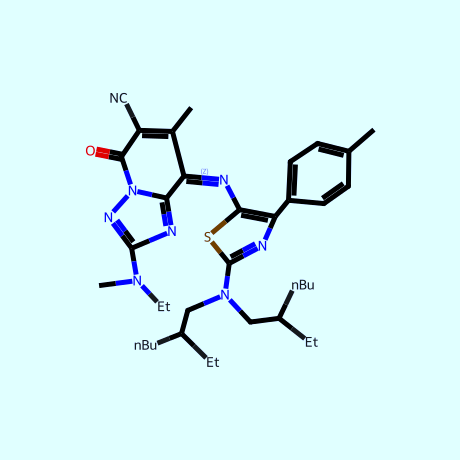 CCCCC(CC)CN(CC(CC)CCCC)c1nc(-c2ccc(C)cc2)c(/N=C2/C(C)=C(C#N)C(=O)n3nc(N(C)CC)nc32)s1